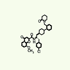 COc1cccc2c(=O)cc(C(=O)N[C@H](C=C3CCC(c4ccccc4CN4CCCCC4=O)CC3)Cc3ccc(Cl)cc3)oc12